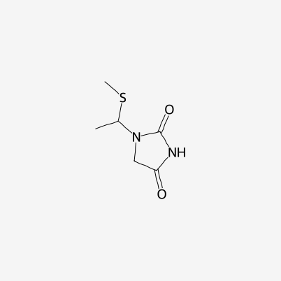 CSC(C)N1CC(=O)NC1=O